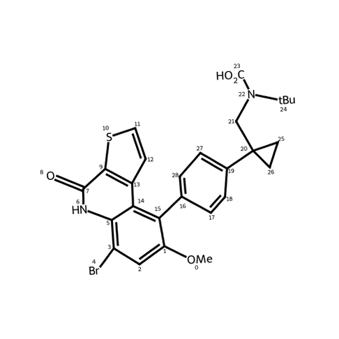 COc1cc(Br)c2[nH]c(=O)c3sccc3c2c1-c1ccc(C2(CN(C(=O)O)C(C)(C)C)CC2)cc1